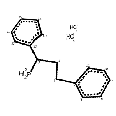 Cl.Cl.PC(CCc1ccccc1)c1ccccc1